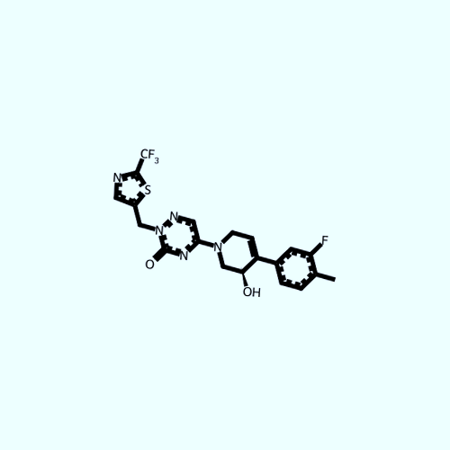 Cc1ccc(C2=CCN(c3cnn(Cc4cnc(C(F)(F)F)s4)c(=O)n3)C[C@@H]2O)cc1F